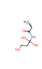 C=CC(=O)NC(O)(O)CCO